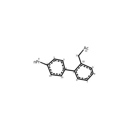 CCCc1ccc(-c2ccccc2CC(C)=O)cc1